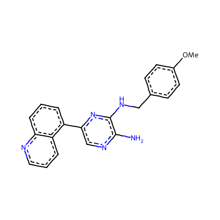 COc1ccc(CNc2nc(-c3cccc4ncccc34)cnc2N)cc1